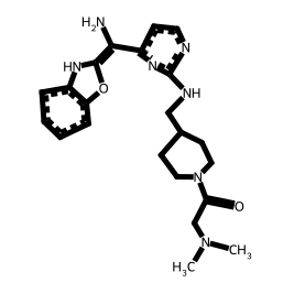 CN(C)CC(=O)N1CCC(CNc2nccc(/C(N)=C3/Nc4ccccc4O3)n2)CC1